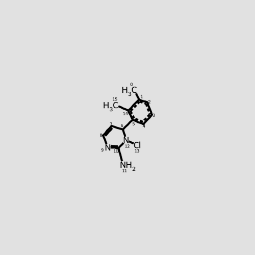 Cc1cccc(C2C=CN=C(N)N2Cl)c1C